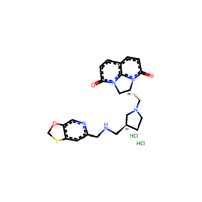 Cl.Cl.O=c1ccc2ccc(=O)n3c2n1C[C@H]3CN1CC[C@@H](CNCc2cc3c(cn2)OCS3)C1